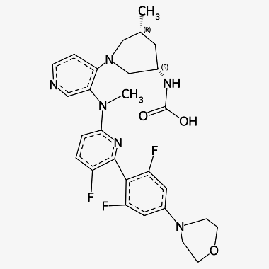 C[C@@H]1C[C@H](NC(=O)O)CN(c2ccncc2N(C)c2ccc(F)c(-c3c(F)cc(N4CCOCC4)cc3F)n2)C1